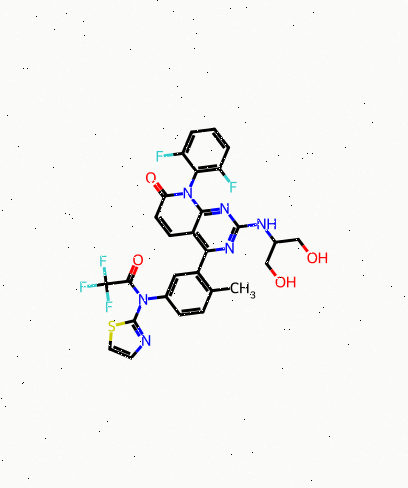 Cc1ccc(N(C(=O)C(F)(F)F)c2nccs2)cc1-c1nc(NC(CO)CO)nc2c1ccc(=O)n2-c1c(F)cccc1F